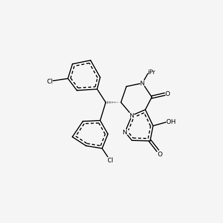 CC(C)N1C[C@@H](C(c2cccc(Cl)c2)c2cccc(Cl)c2)n2ncc(=O)c(O)c2C1=O